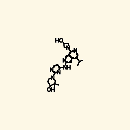 CC(C)c1cnc(N2CC(O)C2)c2cnc(Nc3ccnc(N4CCC(O)C(C)(C)C4)n3)cc12